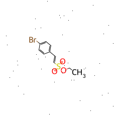 CCOS(=O)(=O)C=Cc1ccc(Br)cc1